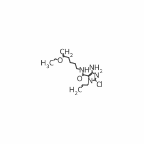 C=CCn1c(Cl)nc(N)c1C(=O)NCCCCC(=C)OCC